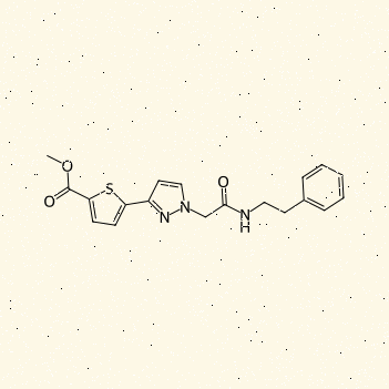 COC(=O)c1ccc(-c2ccn(CC(=O)NCCc3ccccc3)n2)s1